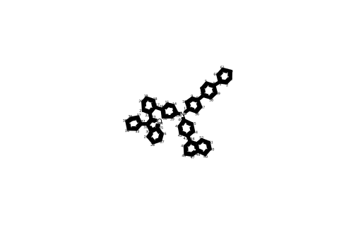 c1ccc(-c2ccc(-c3ccc(N(c4ccc(-c5ccccc5-c5oc6ccccc6c5-c5ccccc5)cc4)c4ccc(-c5cccc6ccccc56)cc4)cc3)cc2)cc1